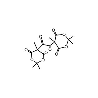 CC1(C)OC(=O)C(C)(C(=O)C(=O)C2(C)C(=O)OC(C)(C)OC2=O)C(=O)O1